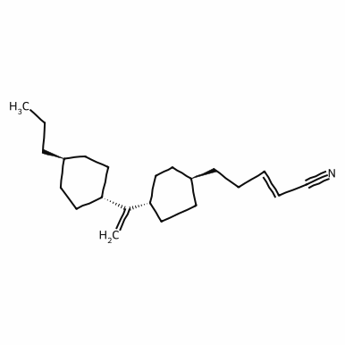 C=C([C@H]1CC[C@H](CCC)CC1)[C@H]1CC[C@H](CC/C=C/C#N)CC1